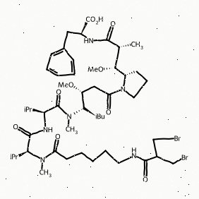 CC[C@H](C)[C@@H]([C@@H](CC(=O)N1CCC[C@H]1[C@H](OC)[C@@H](C)C(=O)N[C@@H](Cc1ccccc1)C(=O)O)OC)N(C)C(=O)[C@@H](NC(=O)[C@H](C(C)C)N(C)C(=O)CCCCCNC(=O)C(CBr)CBr)C(C)C